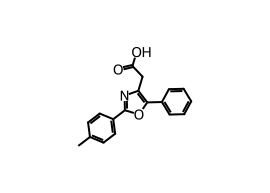 Cc1ccc(-c2nc(CC(=O)O)c(-c3ccccc3)o2)cc1